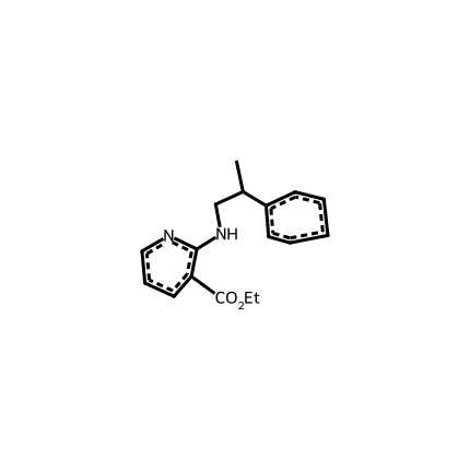 CCOC(=O)c1cccnc1NCC(C)c1ccccc1